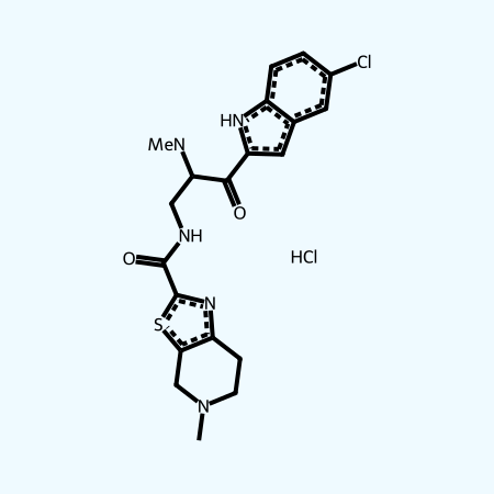 CNC(CNC(=O)c1nc2c(s1)CN(C)CC2)C(=O)c1cc2cc(Cl)ccc2[nH]1.Cl